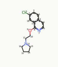 Clc1ccc2ccnc(OCCN3CCCC3)c2c1